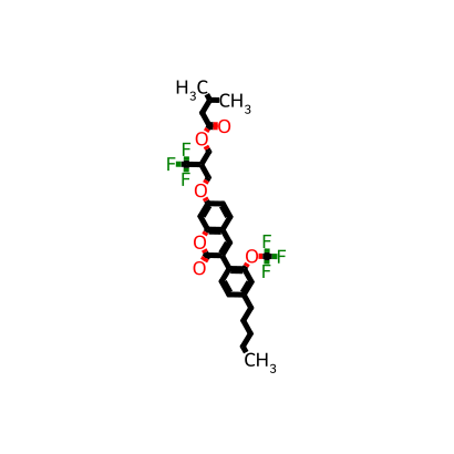 CCCCCc1ccc(-c2cc3ccc(OCC(COC(=O)CC(C)C)C(F)(F)F)cc3oc2=O)c(OC(F)(F)F)c1